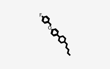 CCCCCC1CCC(c2ccc(OCc3ccc(F)cc3)cc2)CC1